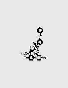 C=C[C@@H]1C[C@]1(NC(=O)C1CN(C(C)=O)CCN1c1ccc(Cl)cc1)C(=O)NS(=O)(=O)c1cccc(OCc2ccccc2)c1